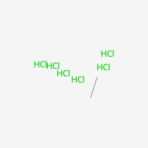 CC.Cl.Cl.Cl.Cl.Cl.Cl